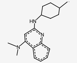 [CH2]C1CCC(Nc2cc(N(C)C)c3ccccc3n2)CC1